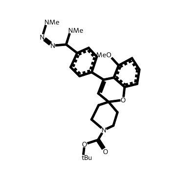 CN/N=N\C(NC)c1ccc(C2=CC3(CCN(C(=O)OC(C)(C)C)CC3)Oc3cccc(OC)c32)cc1